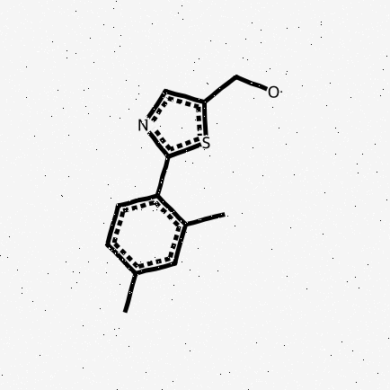 Cc1ccc(-c2ncc(C[O])s2)c(C)c1